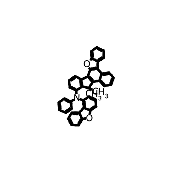 CC1(C)c2c(cccc2N(c2ccccc2)c2cccc3oc4ccccc4c23)-c2c1c1ccccc1c1c2oc2ccccc21